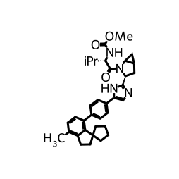 COC(=O)N[C@H](C(=O)N1C2CC2C[C@H]1c1ncc(-c2ccc(-c3ccc(C)c4c3C3(CCCC3)CC4)cc2)[nH]1)C(C)C